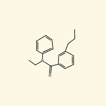 CCCc1cccc(C(=O)N(CC)c2ccccc2)c1